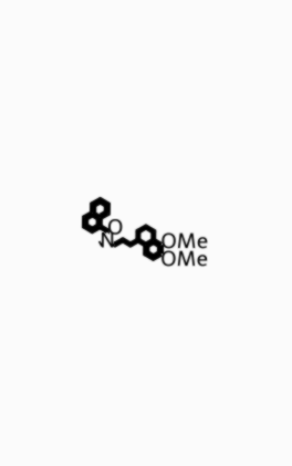 COc1ccc2c(c1OC)CCCC2CCCN(C)C(=O)c1cccc2ccccc12